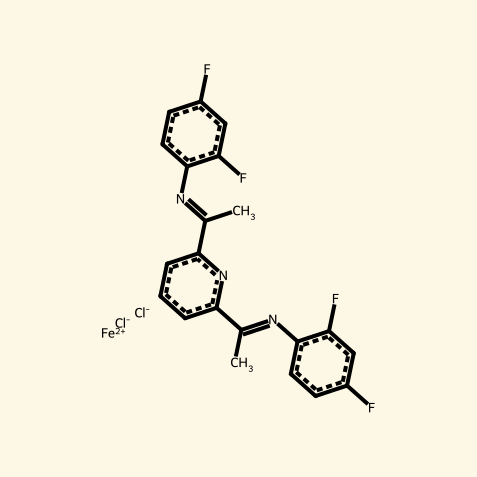 CC(=Nc1ccc(F)cc1F)c1cccc(C(C)=Nc2ccc(F)cc2F)n1.[Cl-].[Cl-].[Fe+2]